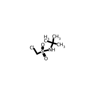 CC(C)(C)NS(=O)(=O)CCl